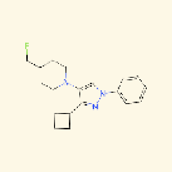 FCC1CCN(c2cn(-c3ccccc3)nc2C2CCC2)CC1